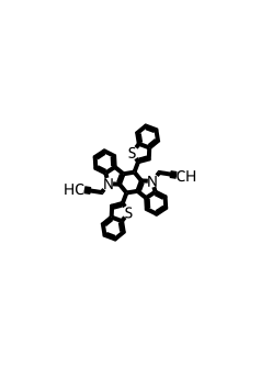 C#CCn1c2c(c3ccccc31)C(c1cc3ccccc3s1)c1c(c3ccccc3n1CC#C)C2c1cc2ccccc2s1